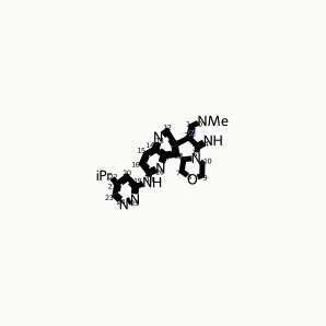 CN/C=C(\C(=N)N1CCOCC1)c1cnc2ccc(Nc3cc(C(C)C)cnn3)nc2c1